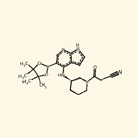 CC1(C)OB(c2cnc3[nH]ccc3c2N[C@@H]2CCCN(C(=O)CC#N)C2)OC1(C)C